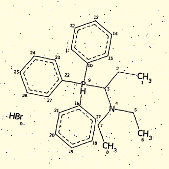 Br.CCC(N(CC)CC)[PH](c1ccccc1)(c1ccccc1)c1ccccc1